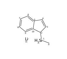 C[SiH2]C1C=Cc2ccccc21.[Li]